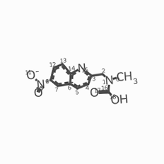 CN(Cc1ccc2cc([N+](=O)[O-])ccc2n1)C(=O)O